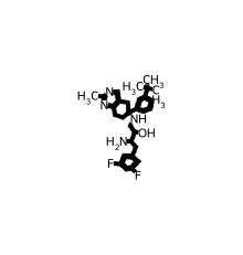 Cc1ncc2c(n1)CCC(NCC(O)C(N)Cc1cc(F)cc(F)c1)(c1cccc(C(C)(C)C)c1)C2